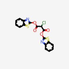 O=C(Oc1nc2ccccc2s1)C(Cl)C(=O)Oc1nc2ccccc2s1